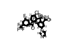 O=C(Nc1cc(-n2ccnc2)cc2c1[C@](Br)(c1cc(F)ccc1Cl)NC2=O)c1cc(F)cc(C(F)(F)F)c1